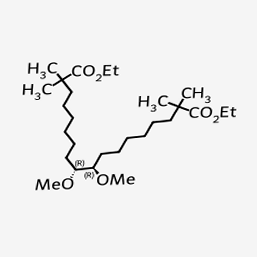 CCOC(=O)C(C)(C)CCCCCC[C@@H](OC)[C@@H](CCCCCCC(C)(C)C(=O)OCC)OC